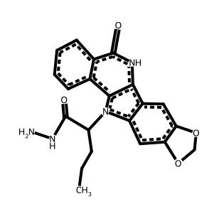 CCCC(C(=O)NN)n1c2cc3c(cc2c2[nH]c(=O)c4ccccc4c21)OCO3